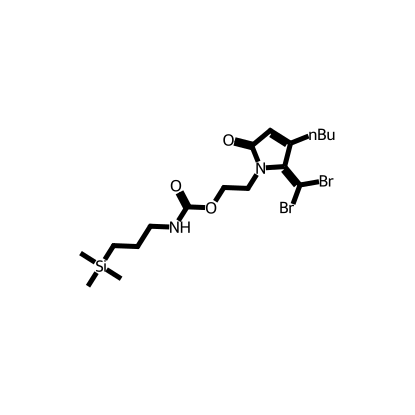 CCCCC1=CC(=O)N(CCOC(=O)NCCC[Si](C)(C)C)C1=C(Br)Br